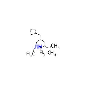 CCNCC(CC1CCC1)CC(C)C(C)C